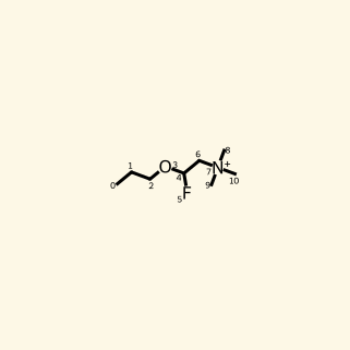 CCCOC(F)C[N+](C)(C)C